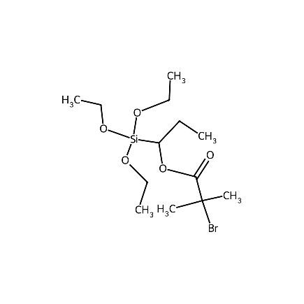 CCO[Si](OCC)(OCC)C(CC)OC(=O)C(C)(C)Br